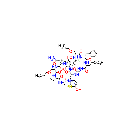 C=CCOCC(NC(=O)C(CC(N)=O)NC(=O)C(CC(=O)O)NC(=O)C(Cc1ccc(O)cc1)NC(=O)CNC(=O)C(CCC(=O)O)NC(=O)C(Cc1ccccc1)NC(=O)C(COCC=C)N(O)C(=C)Cl)C(=O)N1CCCC1C(=O)NC(CS)C(N)=O